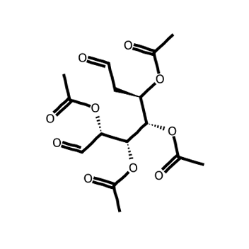 CC(=O)O[C@H]([C@H](OC(C)=O)[C@H](C=O)OC(C)=O)[C@@H](CC=O)OC(C)=O